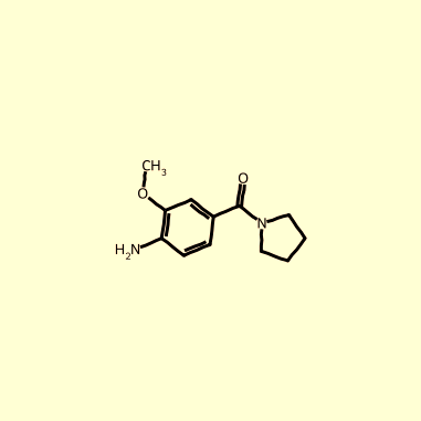 COc1cc(C(=O)N2CCCC2)ccc1N